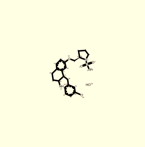 CCCS(=O)(=O)N1CCC[C@@H]1COc1ccc2c(c1)C(Cc1cccc(Cl)c1)C(N)CC2.Cl